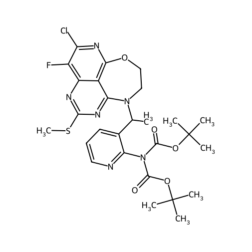 CSc1nc2c3c(nc(Cl)c(F)c3n1)OCCN2C(C)c1cccnc1N(C(=O)OC(C)(C)C)C(=O)OC(C)(C)C